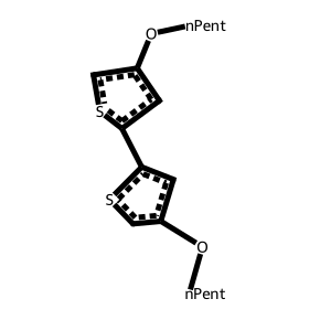 CCCCCOc1csc(-c2cc(OCCCCC)cs2)c1